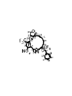 O=[N+]([O-])c1cc(C(F)(F)F)c2nc1-c1nnc(o1)[C@@](OCc1ccccc1)(C(F)(F)F)CCC=CCC1(CCOC1)N2